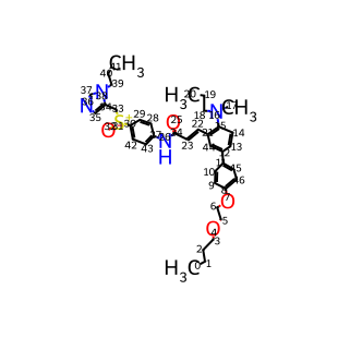 CCCCOCCOc1ccc(-c2ccc(N(C)CCC)c(C=CC(=O)Nc3ccc([S+]([O-])Cc4cncn4CCC)cc3)c2)cc1